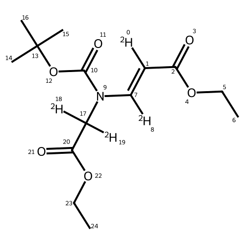 [2H]C(C(=O)OCC)=C([2H])N(C(=O)OC(C)(C)C)C([2H])([2H])C(=O)OCC